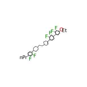 CCCc1ccc(C2CCC(CCC3CC=C(c4ccc(-c5ccc(OCC)c(F)c5F)c(F)c4F)CC3)CC2)c(F)c1F